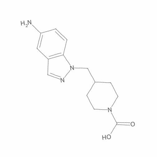 Nc1ccc2c(cnn2CC2CCN(C(=O)O)CC2)c1